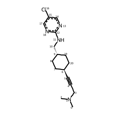 CN(C)CC#C[C@H]1CC[C@H](CNc2ncc(Cl)cn2)CC1